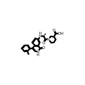 Cc1ccccc1-c1c[nH]c(=O)c2cc(N[C@@H](C)C(=O)N3CCCC(C(=O)O)C3)ccc12